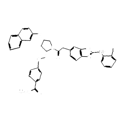 COC(=O)c1ccc(OC[C@@H]2C[C@H](Oc3ccc4ccccc4c3)CN2C(=O)Cc2ccc3nc(Nc4ccccc4C)oc3c2)cc1